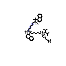 CC(C)C(C(C)C)P(OCCC#N)OCCCCCC1(C)\C(=C/C=C/C=C/C2=[N+](C)c3ccc4ccccc4c3C2(C)C)N(C)c2ccc3ccccc3c21